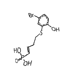 O=P(O)(O)C=CCCSc1cc(Br)ccc1O